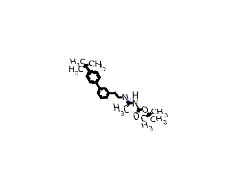 C/C(=N\CCc1cccc(-c2ccc(C(C)(C)C)cc2)c1)NC(=O)OC(C)(C)C